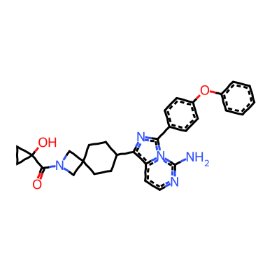 Nc1nccc2c(C3CCC4(CC3)CN(C(=O)C3(O)CC3)C4)nc(-c3ccc(Oc4ccccc4)cc3)n12